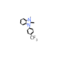 C=C1N(C)c2ccccc2N1c1ccc(C(F)(F)F)cc1